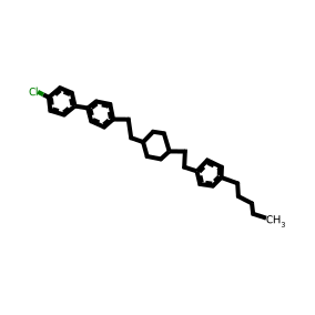 CCCCCc1ccc(CCC2CCC(CCc3ccc(-c4ccc(Cl)cc4)cc3)CC2)cc1